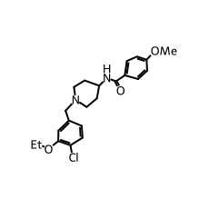 CCOc1cc(CN2CCC(NC(=O)c3ccc(OC)cc3)CC2)ccc1Cl